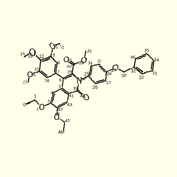 CCOc1cc2c(-c3cc(OC)c(OC)c(OC)c3)c(C(=O)OC)n(-c3ccc(OCc4ccccc4)cc3)c(=O)c2cc1OCC